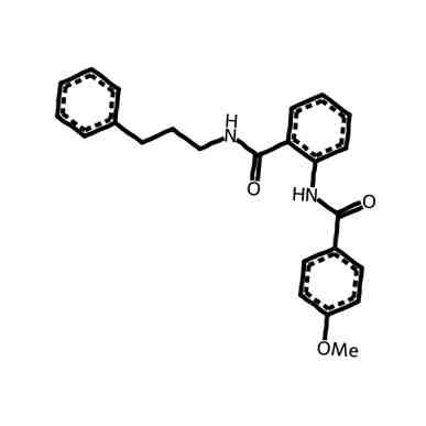 COc1ccc(C(=O)Nc2ccccc2C(=O)NCCCc2ccccc2)cc1